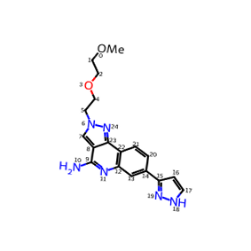 COCCOCCn1cc2c(N)nc3cc(-c4cc[nH]n4)ccc3c2n1